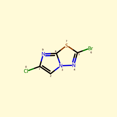 Clc1cn2nc(Br)sc2n1